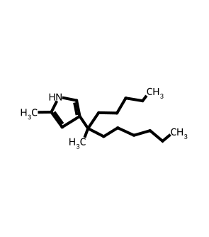 CCCCCCC(C)(CCCCC)c1c[nH]c(C)c1